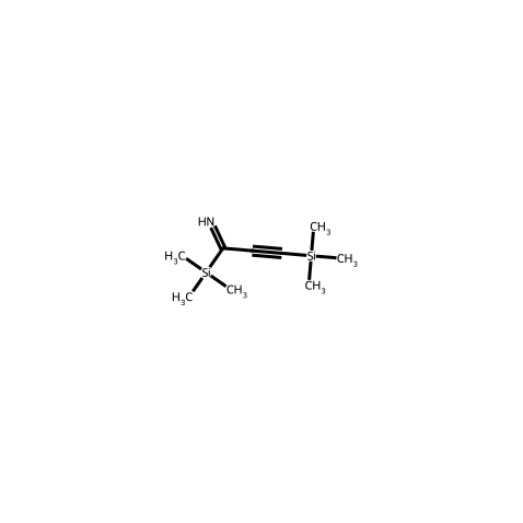 C[Si](C)(C)C#CC(=N)[Si](C)(C)C